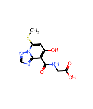 CSc1cc(O)c(C(=O)NCC(=O)O)c2ncnn12